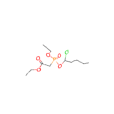 CCCCC(Cl)OP(=O)(CC(=O)OCC)OCC